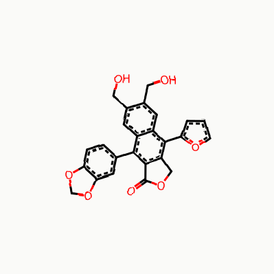 O=C1OCc2c1c(-c1ccc3c(c1)OCO3)c1cc(CO)c(CO)cc1c2-c1ccco1